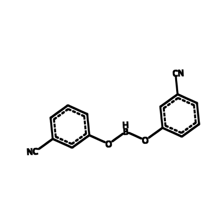 N#Cc1cccc(OBOc2cccc(C#N)c2)c1